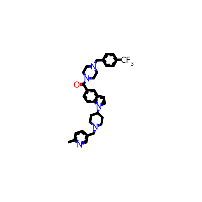 Cc1ccc(CN2CCC(n3ccc4cc(C(=O)N5CCN(Cc6ccc(C(F)(F)F)cc6)CC5)ccc43)CC2)cn1